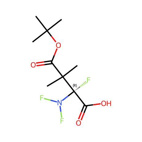 CC(C)(C)OC(=O)C(C)(C)[C@@](F)(C(=O)O)N(F)F